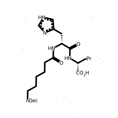 CCCCCCCCCCCCCCCC(=O)N[C@H](Cc1c[nH]cn1)C(=O)N[C@@H](C(=O)O)C(C)C